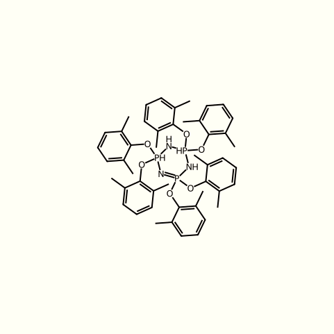 Cc1cccc(C)c1OP1(Oc2c(C)cccc2C)=N[PH](Oc2c(C)cccc2C)(Oc2c(C)cccc2C)N[PH](Oc2c(C)cccc2C)(Oc2c(C)cccc2C)N1